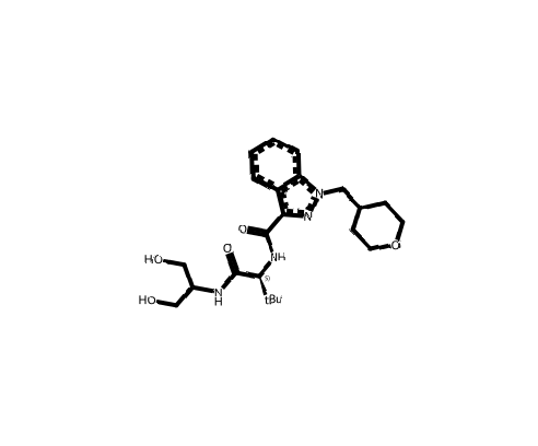 CC(C)(C)[C@H](NC(=O)c1nn(CC2CCOCC2)c2ccccc12)C(=O)NC(CO)CO